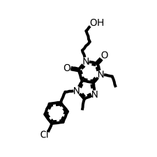 CCn1c(=O)n(CCCO)c(=O)c2c1nc(C)n2Cc1ccc(Cl)cc1